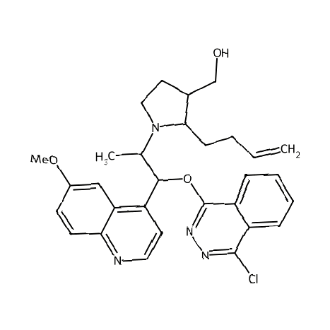 C=CCCC1C(CO)CCN1C(C)C(Oc1nnc(Cl)c2ccccc12)c1ccnc2ccc(OC)cc12